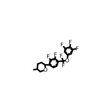 CC1CCC(c2ccc(C(F)(F)Oc3cc(F)c(F)c(F)c3)c(F)c2F)OC1